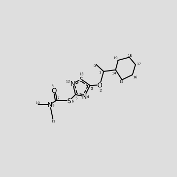 CC(Oc1nc(SC(=O)N(C)C)ns1)C1CCCCC1